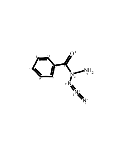 [N-]=[N+]=NN(N)C(=O)c1ccccc1